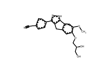 COc1cc2c(cc1OC[C@@H](O)CO)Cc1c(-c3ccc(C#N)cc3)n[nH]c1-2